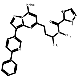 CC(=O)Nc1cc(CCC(C)N(C)C(=O)C2NC=NN2)nc2c(-c3ccc(-c4ccccc4)nc3)cnn12